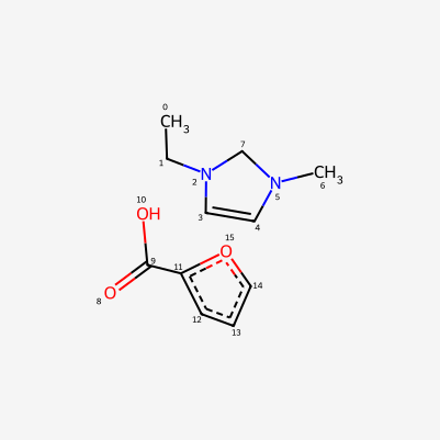 CCN1C=CN(C)C1.O=C(O)c1ccco1